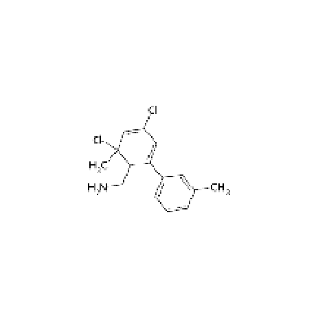 Cc1cccc(C2=CC(Cl)=CC(C)(Cl)C2CN)c1